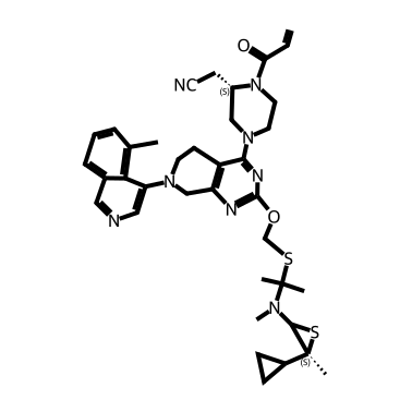 C=CC(=O)N1CCN(c2nc(OCSC(C)(C)N(C)C3S[C@@]3(C)C3CC3)nc3c2CCN(c2cncc4cccc(C)c24)C3)C[C@@H]1CC#N